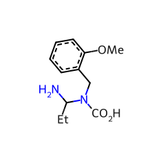 CCC(N)N(Cc1ccccc1OC)C(=O)O